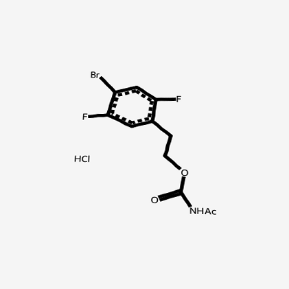 CC(=O)NC(=O)OCCc1cc(F)c(Br)cc1F.Cl